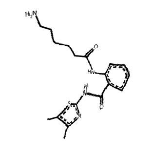 Cc1nc(NC(=O)c2ccccc2NC(=O)CCCCCN)sc1C